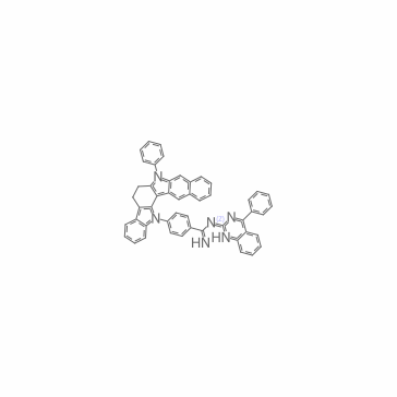 N=C(/N=c1/nc(-c2ccccc2)c2ccccc2[nH]1)c1ccc(-n2c3c(c4ccccc42)CCc2c-3c3cc4ccccc4cc3n2-c2ccccc2)cc1